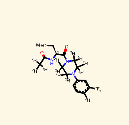 [2H]c1ccc(N2C([2H])([2H])C([2H])([2H])N(C(=O)[C@H](COC)NC(=O)C([2H])([2H])[2H])C([2H])([2H])C2([2H])[2H])cc1C(F)(F)F